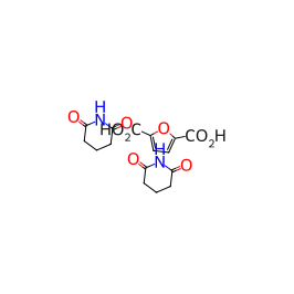 O=C(O)c1ccc(C(=O)O)o1.O=C1CCCC(=O)N1.O=C1CCCC(=O)N1